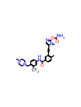 Cc1ccc(C(=O)Nc2ccc(CN3CCN(C)CC3)c(C(F)(F)F)c2)cc1C#Cc1cnc(OC(N)=O)n1C